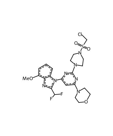 COc1cccc2c1nc(C(F)F)n2-c1cc(N2CCOCC2)nc(N2CCN(S(=O)(=O)CCl)CC2)n1